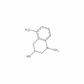 Cc1cccc2c1CC(O)CN2C